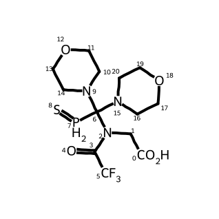 O=C(O)CN(C(=O)C(F)(F)F)C([PH2]=S)(N1CCOCC1)N1CCOCC1